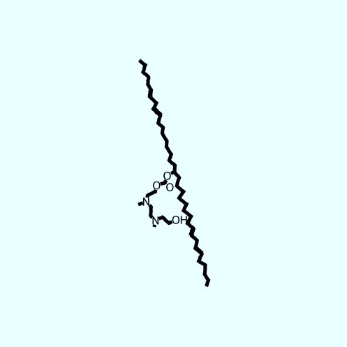 CCCCCC=CCC=CCCCCCCCCC(CCCCCCCCC=CCC=CCCCCC)OC(=O)OCCN(C)CCN(C)CCO